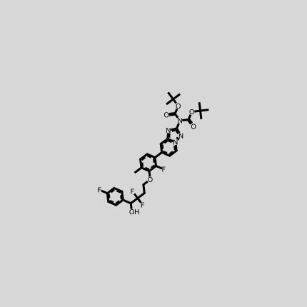 Cc1ccc(-c2ccn3nc(N(C(=O)OC(C)(C)C)C(=O)OC(C)(C)C)nc3c2)c(F)c1OCCC(F)(F)C(O)c1ccc(F)cc1